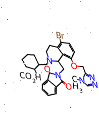 Cn1cnnc1COc1ccc(Br)c2c1C(CN1Cc3ccccc3C1=O)N(C(=O)C1CCCCC1C(=O)O)CC2